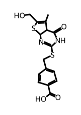 CC1=C(CO)SC2N=C(SCc3ccc(C(=O)O)cc3)NC(=O)C12